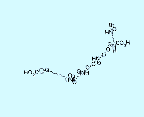 O=C(CBr)NCCCCC(NC(=O)COCCOCCNC(=O)COCCOCCNC(=O)CCCS(=O)(=O)NC(=O)CCCCCCCCCOc1ccc(C(=O)O)cc1)C(=O)O